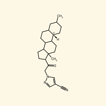 CC1CC[C@H]2C(CCC3C2CCC2(C)C(C(=O)Cn4cc(C#N)cn4)CCC32)C1